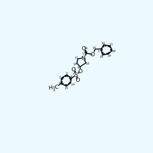 Cc1ccc(S(=O)(=O)OC2CCN(C(=O)OCc3ccccc3)C2)cc1